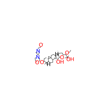 CCO[C@@H](C1C[C@@H](C)[C@H]2C(O1)[C@H](O)[C@@]1(C)C3CC[C@H]4C(C)(C)[C@@H](O[C@H]5CN(C6CN(CCOC)C6)CCO5)CC[C@@]45C[C@@]35CC[C@]21C)C(C)(C)O